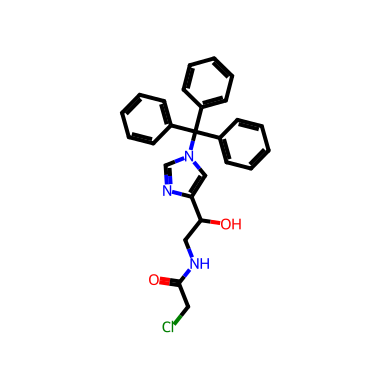 O=C(CCl)NCC(O)c1cn(C(c2ccccc2)(c2ccccc2)c2ccccc2)cn1